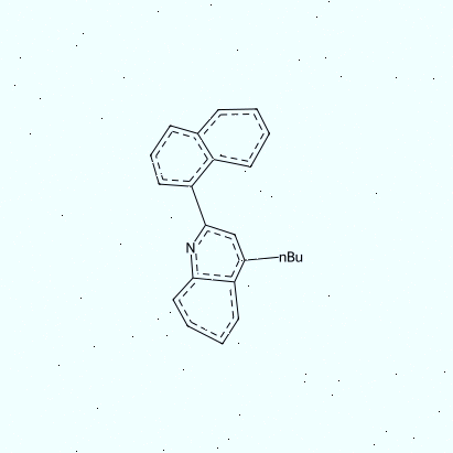 CCCCc1cc(-c2cccc3ccccc23)nc2ccccc12